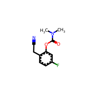 CN(C)C(=O)Oc1cc(F)ccc1CC#N